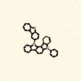 C1=Cc2c(c3c(ccc4c5ccccc5n(-c5ccc6sc7ccccc7c6c5)c43)n2-c2ccccc2)CC1